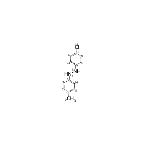 Cc1ccc(NNc2ccc(Cl)cc2)cc1